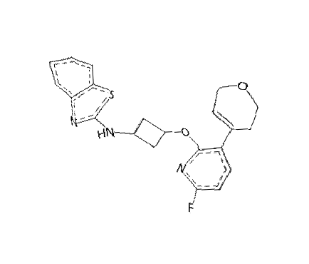 Fc1ccc(C2=CCOCC2)c(OC2CC(Nc3nc4ccccc4s3)C2)n1